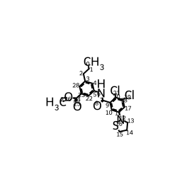 CCCc1cc(NC(=O)c2cc(N3CCCS3)cc(Cl)c2Cl)cc(C(=O)OC)c1